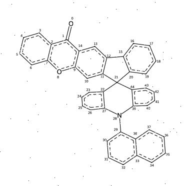 O=c1c2ccccc2oc2cc3c(cc12)-c1ccccc1C31c2ccccc2N(c2cccc3ccccc23)c2ccccc21